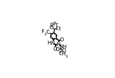 CCCOC(CC)c1cc2c(=O)n(NS(C)(=O)=O)c(=O)[nH]c2cc1C(F)(F)F